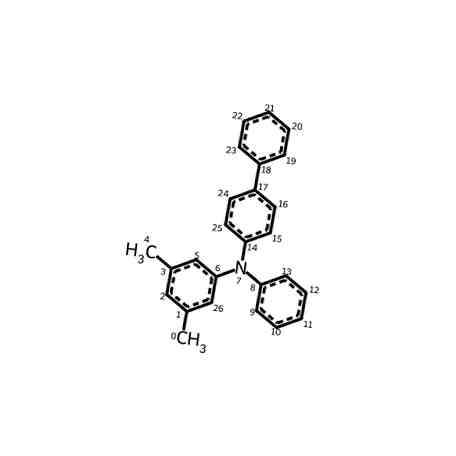 Cc1cc(C)cc(N(c2ccccc2)c2ccc(-c3ccccc3)cc2)c1